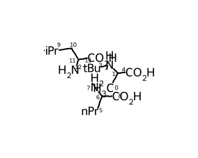 CC(NC(C)(C)C)C(=O)O.CCCC(N)C(=O)O.[CH2][C](C)CC(N)C(=O)O